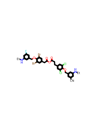 CCNc1cc(C#N)cc(COc2c(Cl)cc(CCC(=O)OC(=O)Cc3cc(Br)c(OCc4cc(F)cc(NCC)c4)c(Br)c3)cc2Cl)c1